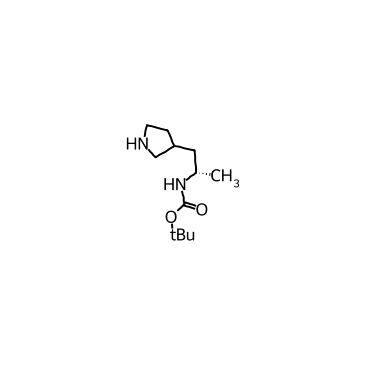 C[C@@H](CC1CCNC1)NC(=O)OC(C)(C)C